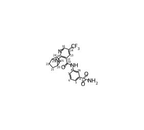 NS(=O)(=O)c1cccc(NC(=O)c2cc(C(F)(F)F)cnc2N2C3CCC2CC3)c1